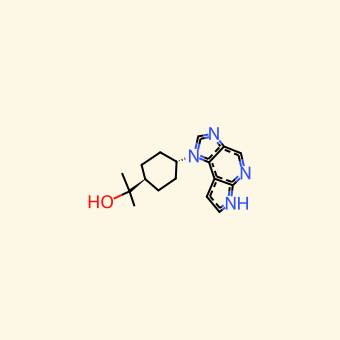 CC(C)(O)[C@H]1CC[C@H](n2cnc3cnc4[nH]ccc4c32)CC1